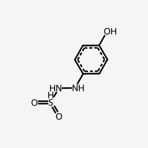 O=[SH](=O)NNc1ccc(O)cc1